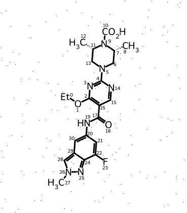 CCOc1nc(N2C[C@@H](C)N(C(=O)O)[C@@H](C)C2)ncc1C(=O)Nc1cc(F)c2nn(C)cc2c1